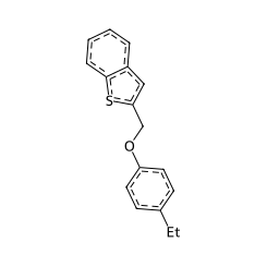 CCc1ccc(OCc2cc3ccccc3s2)cc1